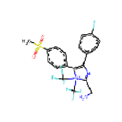 CS(=O)(=O)c1ccc(C2=C(c3ccc(F)cc3)N=C(CN)[N+]2(C(F)(F)F)C(F)(F)F)cc1